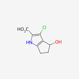 O=C(O)c1[nH]c2c(c1Cl)C(O)CC2